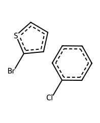 Brc1cccs1.Clc1ccccc1